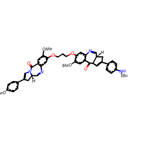 COc1ccc(C2=CN3C(=O)c4cc(OC)c(OCCCOc5cc6c(cc5OC)C(=O)C5C=C(c7ccc(NC(C)(C)C)cc7)C[C@H]5C=N6)cc4N=C[C@@H]3C2)cc1